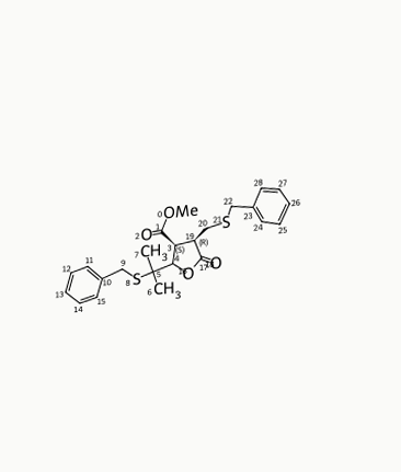 COC(=O)[C@@H]1C(C(C)(C)SCc2ccccc2)OC(=O)[C@@H]1CSCc1ccccc1